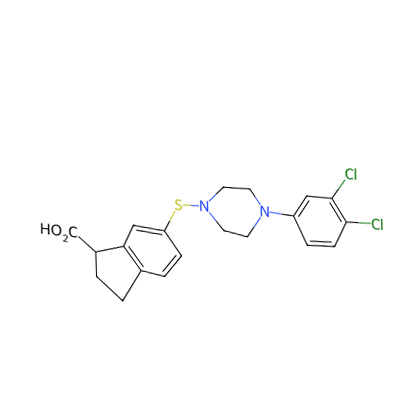 O=C(O)C1CCc2ccc(SN3CCN(c4ccc(Cl)c(Cl)c4)CC3)cc21